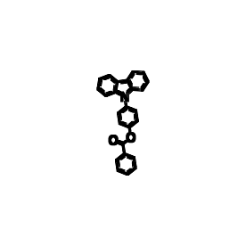 O=C(Oc1ccc(-n2c3ccccc3c3ccccc32)cc1)c1ccccc1